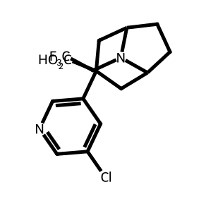 O=C(O)C1(c2cncc(Cl)c2)CC2CCC(C1)N2CC(F)(F)F